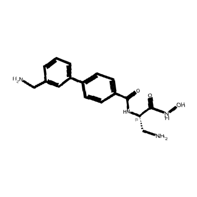 NCc1cccc(-c2ccc(C(=O)N[C@@H](CN)C(=O)NO)cc2)c1